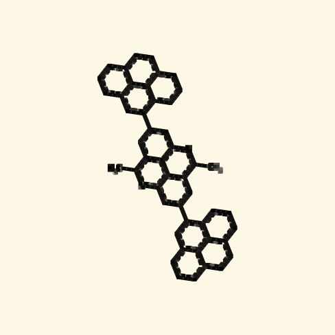 Cc1nc2cc(-c3cc4cccc5ccc6cccc3c6c54)cc3c(C)nc4cc(-c5cc6cccc7ccc8cccc5c8c76)cc1c4c23